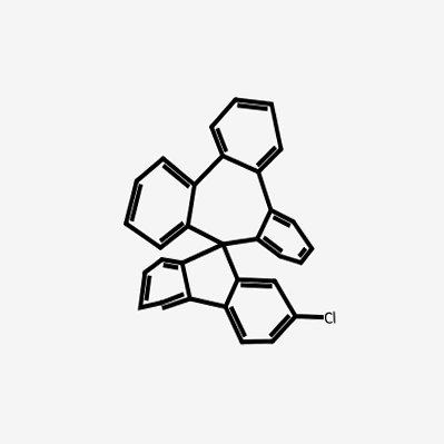 Clc1ccc2c(c1)C1(c3ccccc3-c3ccccc3-c3ccccc31)c1ccccc1-2